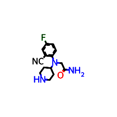 N#Cc1cc(F)ccc1N(CC(N)=O)C1CCNCC1